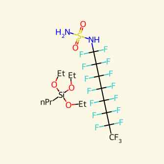 CCC[Si](OCC)(OCC)OCC.NS(=O)(=O)NC(F)(F)C(F)(F)C(F)(F)C(F)(F)C(F)(F)C(F)(F)C(F)(F)C(F)(F)F